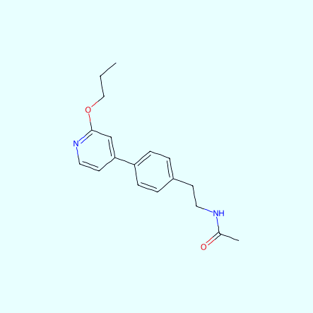 CCCOc1cc(-c2ccc(CCNC(C)=O)cc2)ccn1